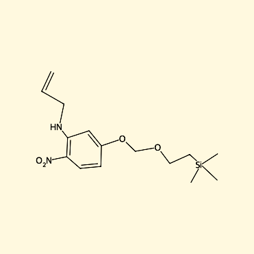 C=CCNc1cc(OCOCC[Si](C)(C)C)ccc1[N+](=O)[O-]